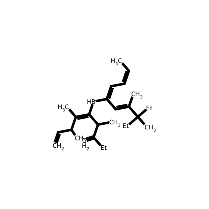 C=CC(C)/C(C)=C(/BC(=C/C=C\C)/C=C(\C)C(C)(CC)CC)C(C)C(=C)CC